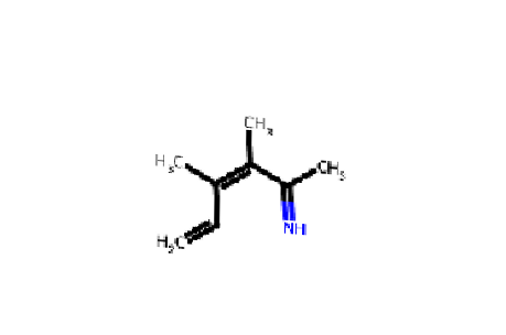 C=C/C(C)=C(/C)C(C)=N